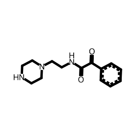 O=C(NCCN1CCNCC1)C(=O)c1ccccc1